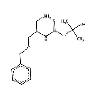 CC(C)(C)OC(=O)NC(CN)COCc1ccccc1